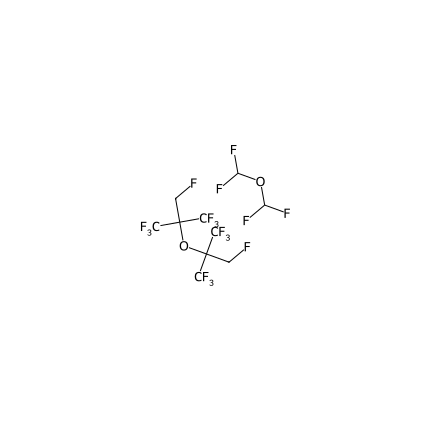 FC(F)OC(F)F.FCC(OC(CF)(C(F)(F)F)C(F)(F)F)(C(F)(F)F)C(F)(F)F